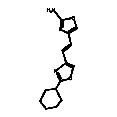 Nc1nc(C=Cc2coc(C3CCCCC3)n2)cs1